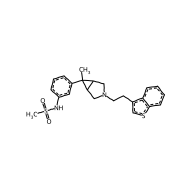 CC1(c2cccc(NS(C)(=O)=O)c2)C2CN(CCc3csc4ccccc34)CC21